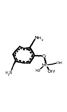 Nc1ccc(N)c(O[PH](O)(O)O)c1